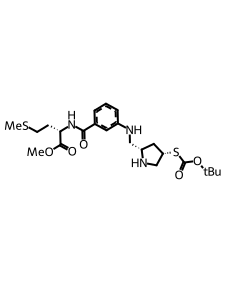 COC(=O)[C@H](CCSC)NC(=O)c1cccc(NC[C@@H]2C[C@H](SC(=O)OC(C)(C)C)CN2)c1